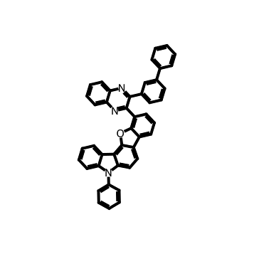 c1ccc(-c2cccc(-c3nc4ccccc4nc3-c3cccc4c3oc3c4ccc4c3c3ccccc3n4-c3ccccc3)c2)cc1